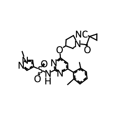 Cc1cccc(C)c1-c1cc(OC2CCN(C(=O)C3(C#N)CC3)C2)nc(NS(=O)(=O)c2cnn(C)c2)n1